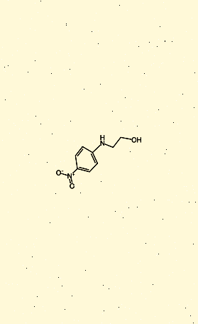 O=[N+]([O-])c1ccc(NCCO)cc1